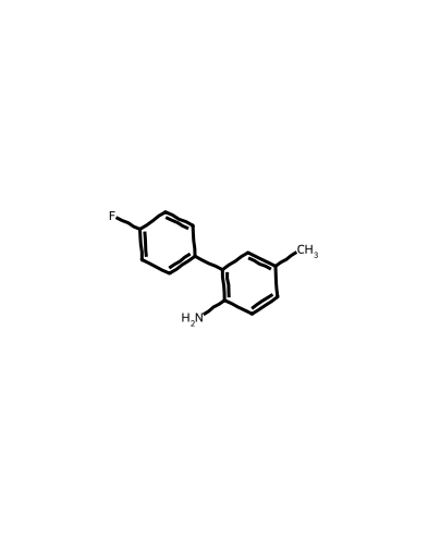 Cc1ccc(N)c(-c2ccc(F)cc2)c1